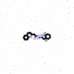 O=C([CH]c1ccc2ccccc2n1)NC[C@@H]1C[C@@H]2CCCC[C@@H]2N1